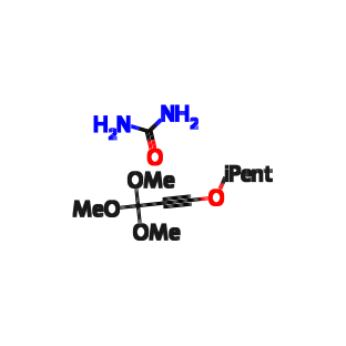 CCCC(C)OC#CC(OC)(OC)OC.NC(N)=O